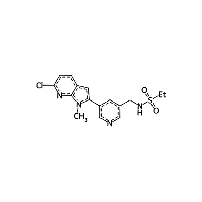 CCS(=O)(=O)NCc1cncc(-c2cc3ccc(Cl)nc3n2C)c1